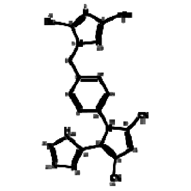 CCCCc1nc(C(C)CC)n(Cc2ccc(-n3c(C#N)cc(C#N)c3-c3nnn[nH]3)cc2)n1